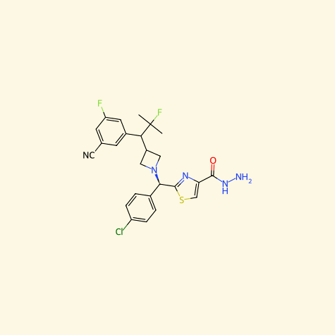 CC(C)(F)C(c1cc(F)cc(C#N)c1)C1CN([C@H](c2ccc(Cl)cc2)c2nc(C(=O)NN)cs2)C1